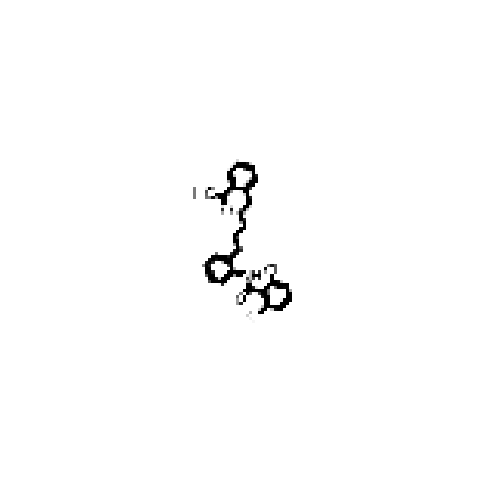 O=C(O)c1ccccc1CCCCCc1ccccc1NC(=O)c1c(Cl)cccc1Cl